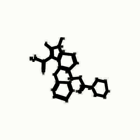 Cc1c(C(N)=O)c2c(Cc3ccccc3)c(OCC(=O)N3CCCCC3)ccc2n1C